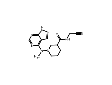 CN(c1ncnc2[nH]ccc12)N1CCCC(C(=O)NCC#N)C1